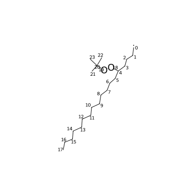 [CH2]CCCC(CCCCCCCCCCCCC)OOC(C)(C)C